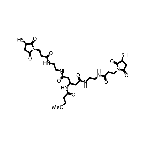 COCCC(=O)NC(CC(=O)NCCNC(=O)CCN1C(=O)CC(S)C1=O)CC(=O)NCCNC(=O)CCN1C(=O)CC(S)C1=O